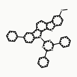 COc1ccc2sc3c(ccc4c5cc(-c6ccccc6)ccc5n(-c5nc(-c6ccccc6)nc(-c6ccccc6)n5)c43)c2c1